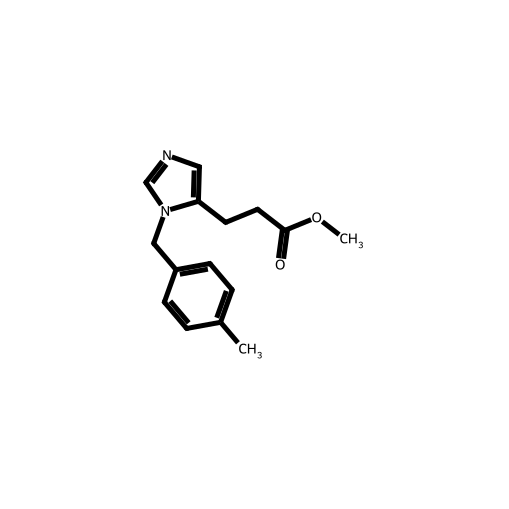 COC(=O)CCc1cncn1Cc1ccc(C)cc1